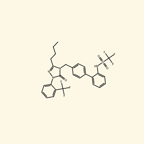 CCCCc1nn(-c2ccccc2C(F)(F)F)c(=O)n1Cc1ccc(-c2ccccc2NS(=O)(=O)C(F)(F)F)cc1